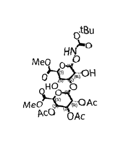 COC(=O)[C@H]1O[C@@H](ONC(=O)OC(C)(C)C)[C@H](O)[C@@H](O[C@@H]2O[C@H](C(=O)OC)[C@@H](OC(C)=O)[C@H](OC(C)=O)[C@H]2OC(C)=O)[C@@H]1O